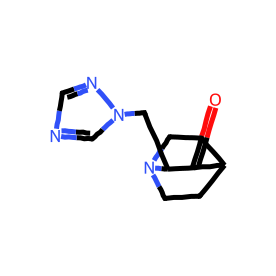 O=C1C2CCN(CC2)C1Cn1cncn1